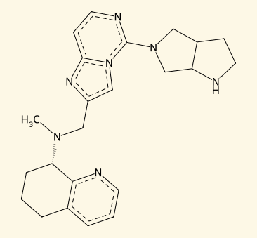 CN(Cc1cn2c(N3CC4CCNC4C3)nccc2n1)[C@H]1CCCc2cccnc21